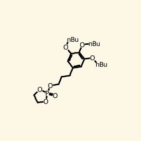 CCCCOc1cc(CCCOP2(=O)OCCO2)cc(OCCCC)c1OCCCC